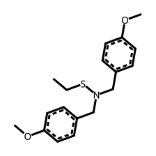 CCSN(Cc1ccc(OC)cc1)Cc1ccc(OC)cc1